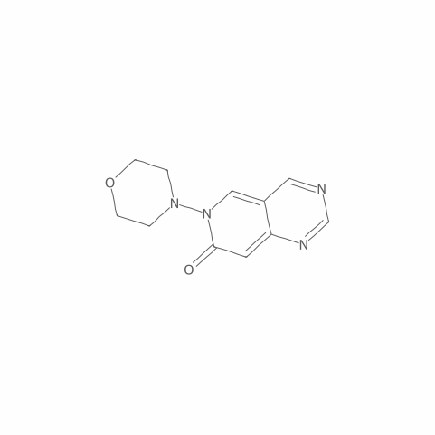 O=c1cc2ncncc2cn1N1CCOCC1